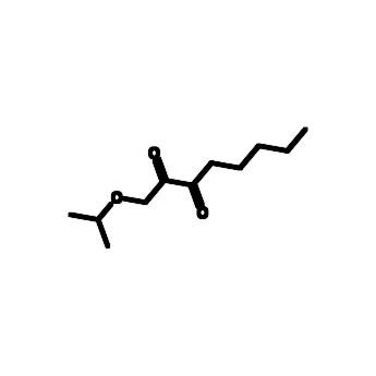 CCCCCC(=O)C(=O)COC(C)C